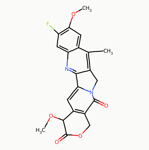 COc1cc2c(C)c3c(nc2cc1F)-c1cc2c(c(=O)n1C3)COC(=O)C2OC